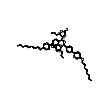 CCCCCCCCOc1cnc(-c2ccc(C(OC(c3ccc(-c4ncc(OCCCCCCCC)cn4)cc3)[C@@H]3OC(=O)O[C@@H]3CCC)[C@@H]3OC(=O)O[C@@H]3CCC)cc2)nc1